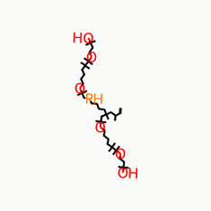 C=CC(C)CC(C)(CCCCPCC(C)(C)OCCCCC(C)(C)C(C)(C)OCCC(C)(C)O)CC(C)(C)OCCCCC(C)(C)C(C)(C)OCCC(C)(C)O